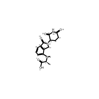 C[C@@H](C(=O)O)N(C)c1cccc2c1CN(C1CCC(=O)NC1=O)C2=O